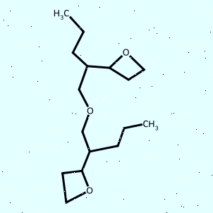 CCCC(COCC(CCC)C1CCO1)C1CCO1